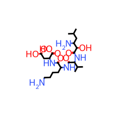 CC(C)CC(N)C(O)C(=O)NC(C(=O)NC(CCCCN)C(=O)NC(CC(=O)O)C(=O)O)C(C)C